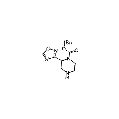 CC(C)(C)OC(=O)N1CCNCC1c1ncon1